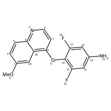 COc1ccc2nccc(Oc3c(F)cc(N)cc3F)c2c1